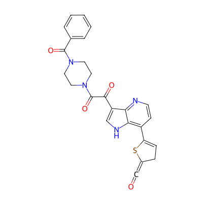 O=C=C1CC=C(c2ccnc3c(C(=O)C(=O)N4CCN(C(=O)c5ccccc5)CC4)c[nH]c23)S1